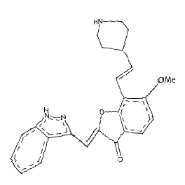 COc1ccc2c(c1C=CC1CCNCC1)OC(=Cc1n[nH]c3ccccc13)C2=O